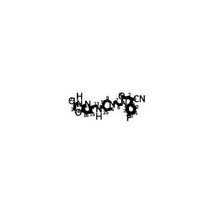 N#Cc1cc(=O)n(CCN2CCC(NCc3ccc4c(n3)NC(=O)CO4)CC2)c2cc(F)ccc12